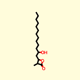 CCCCCCCCCCCC(O)CC1OC(=O)C1C